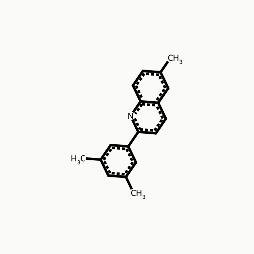 Cc1cc(C)cc(-c2ccc3cc(C)ccc3n2)c1